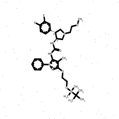 COCCN1C[C@@H](NC(=O)Nc2c(C)c(OCCO[Si](C)(C)C(C)(C)C)nn2-c2ccccc2)[C@H](c2ccc(F)c(F)c2)C1